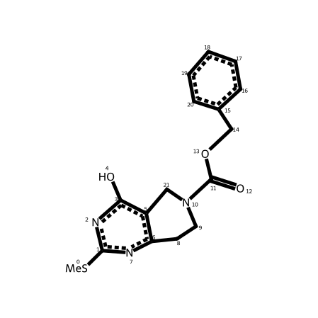 CSc1nc(O)c2c(n1)CCN(C(=O)OCc1ccccc1)C2